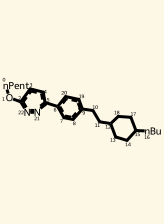 CCCCCOc1ccc(-c2ccc(CCC3CCC(CCCC)CC3)cc2)nn1